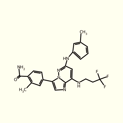 Cc1cccc(Nc2cc(NCCC(F)(F)F)c3ncc(-c4ccc(C(N)=O)c(C)c4)n3n2)c1